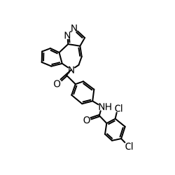 O=C(Nc1ccc(C(=O)N2CC=C3C=NN=C3c3ccccc32)cc1)c1ccc(Cl)cc1Cl